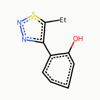 CCc1snnc1-c1ccccc1O